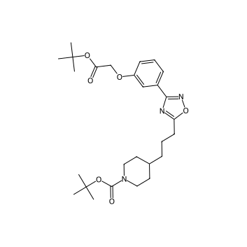 CC(C)(C)OC(=O)COc1cccc(-c2noc(CCCC3CCN(C(=O)OC(C)(C)C)CC3)n2)c1